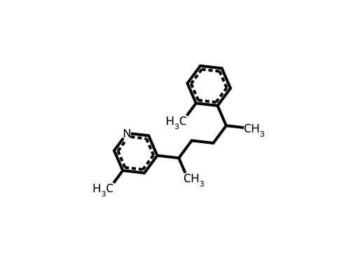 Cc1cncc(C(C)CCC(C)c2ccccc2C)c1